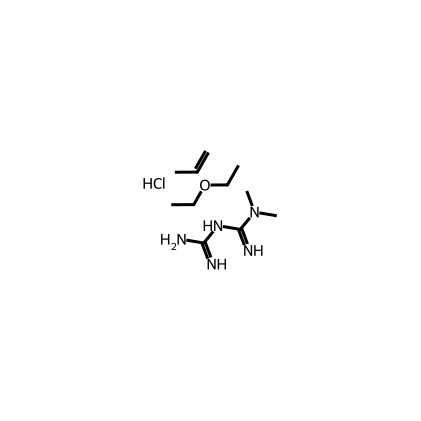 C=CC.CCOCC.CN(C)C(=N)NC(=N)N.Cl